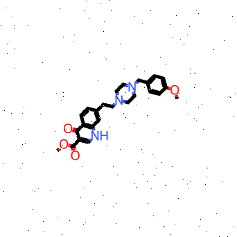 COC(=O)c1c[nH]c2cc(CCN3CCN(Cc4ccc(OC)cc4)CC3)ccc2c1=O